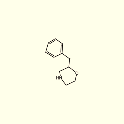 [CH](c1ccccc1)C1CNCCO1